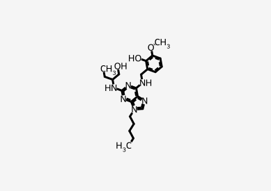 CCCCCn1cnc2c(NCc3cccc(OC)c3O)nc(NC(CC)CO)nc21